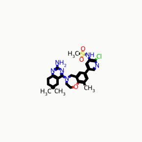 Cc1cc(-c2cnc(Cl)c(NS(C)(=O)=O)c2)cc2c1OCCN(c1nc(N)nc3c1CC(C)(C)CC3)C2